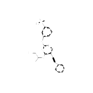 CC(CO)Nc1nc(Nc2cccc(S(C)(=N)=O)c2)ncc1C#Cc1ccccc1